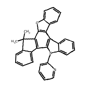 CC1(C)c2ccccc2-c2c1c1oc3ccccc3c1c1c3ccccc3n(-c3ccccn3)c21